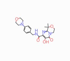 CC1(C)OCCn2c1nc(C(=O)NCc1ccc(N3CCOCC3)cc1)c(O)c2=O